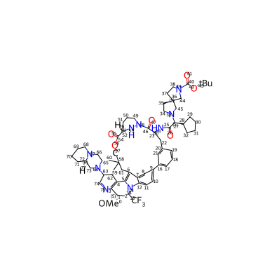 CO[C@@H](C)C1=C(c2c3c4cc(ccc4n2CC(F)(F)F)-c2cccc(c2)C[C@H](NC(=O)[C@H](C2CCCC2)N2CC[C@]4(CCN(C(=O)OC(C)(C)C)C4)C2)C(=O)N2CCC[C@H](N2)C(=O)OCC(C)(C)C3)CC(N2CCN3CCCC[C@@H]3C2)C=N1